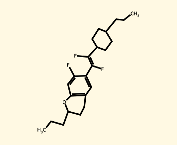 CCCC1CCC(/C(F)=C(\F)c2cc3c(cc2F)OC(CCC)CC3)CC1